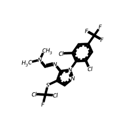 CN(C)C=Nc1c(SC(F)(Cl)Cl)cnn1-c1c(Cl)cc(C(F)(F)F)cc1Cl